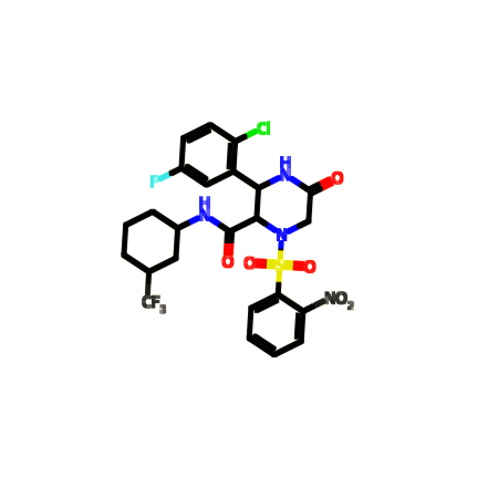 O=C1CN(S(=O)(=O)c2ccccc2[N+](=O)[O-])C(C(=O)NC2CCCC(C(F)(F)F)C2)C(c2cc(F)ccc2Cl)N1